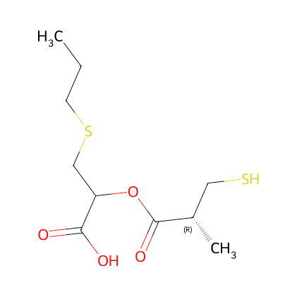 CCCSCC(OC(=O)[C@@H](C)CS)C(=O)O